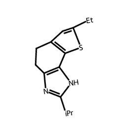 CCc1cc2c(s1)-c1[nH]c(C(C)C)nc1CC2